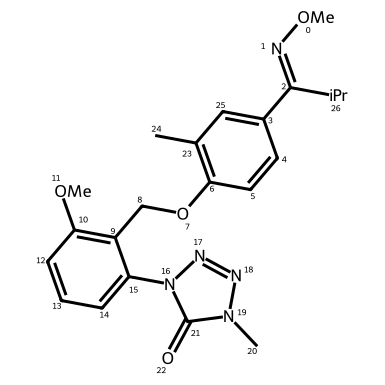 CON=C(c1ccc(OCc2c(OC)cccc2-n2nnn(C)c2=O)c(C)c1)C(C)C